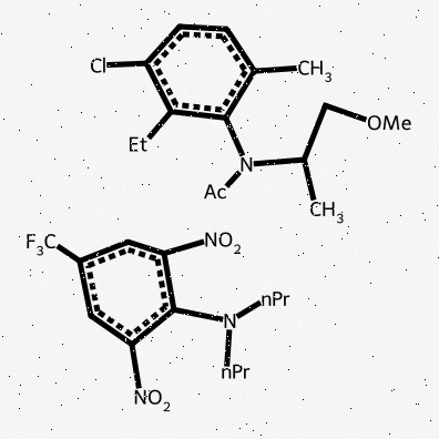 CCCN(CCC)c1c([N+](=O)[O-])cc(C(F)(F)F)cc1[N+](=O)[O-].CCc1c(Cl)ccc(C)c1N(C(C)=O)C(C)COC